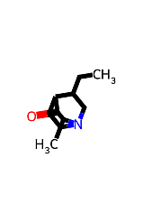 CCC1CN2CCC1C(=O)C2C